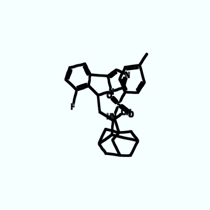 Cc1ccc(S(=O)(=O)NC23CC4CC(C2)C(C(O)CC2c5c(F)cccc5-c5cncn52)C(C4)C3)cc1